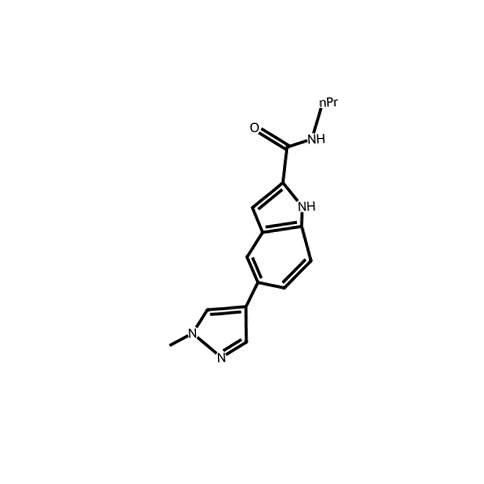 CCCNC(=O)c1cc2cc(-c3cnn(C)c3)ccc2[nH]1